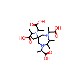 CCC1(N(C(C)C(=O)O)C(C)C(=O)O)CN(C(C)C(=O)O)C(C)C(C)N(C(C)C(=O)O)C1